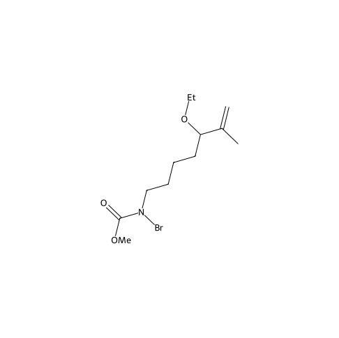 C=C(C)C(CCCCN(Br)C(=O)OC)OCC